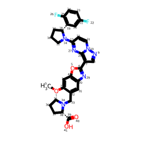 COc1cc2oc(-c3cnn4ccc(N5CCC[C@@H]5c5cc(F)ccc5F)nc34)nc2cc1CN1CCC[C@H]1C(=O)O